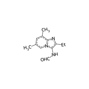 CCc1nc2c(C)cc(C)cn2c1NC=O